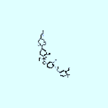 C/C=C/C1COC(c2ccc(C(F)(F)Oc3ccc(OCc4ccc(F)c(F)c4)c(F)c3)c(F)c2)OC1